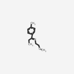 CCC(=NCCOC)c1ccc(C)cc1